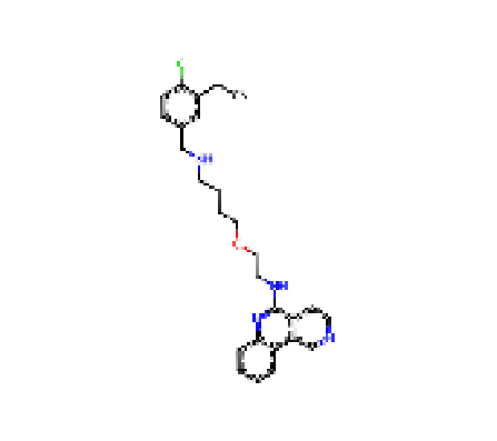 N#CCc1cc(CNCCCCOCCNc2nc3ccccc3c3cnccc23)ccc1Cl